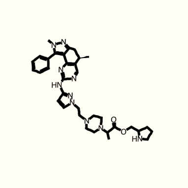 CC(C(=O)OCC1CCCN1)N1CCN(CCn2ccc(Nc3ncc4c(n3)-c3c(nn(C)c3-c3ccccc3)C[C@H]4C)n2)CC1